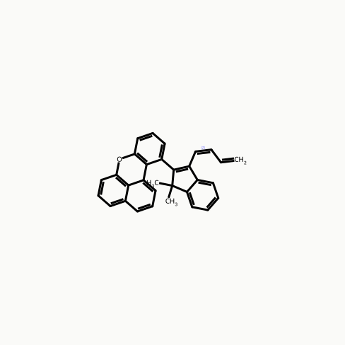 C=C/C=C\C1=C(c2cccc3c2-c2cccc4cccc(c24)O3)C(C)(C)c2ccccc21